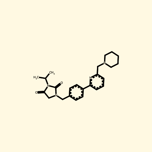 CC(C)N1C(=O)CN(Cc2ccc(-c3cccc(CN4CCCCC4)n3)cc2)C1=O